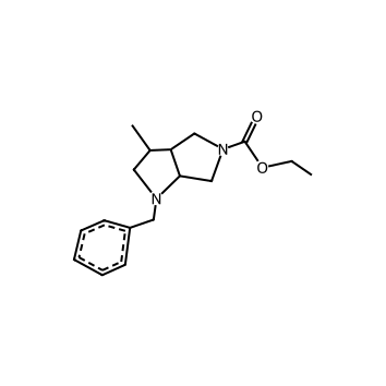 CCOC(=O)N1CC2C(C)CN(Cc3ccccc3)C2C1